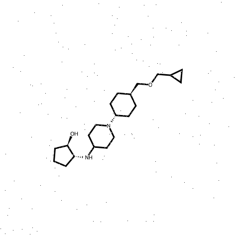 O[C@@H]1CCC[C@H]1NC1CCN([C@H]2CC[C@H](COCC3CC3)CC2)CC1